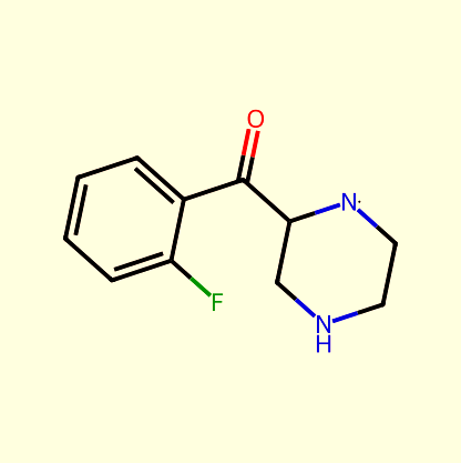 O=C(c1ccccc1F)C1CNCC[N]1